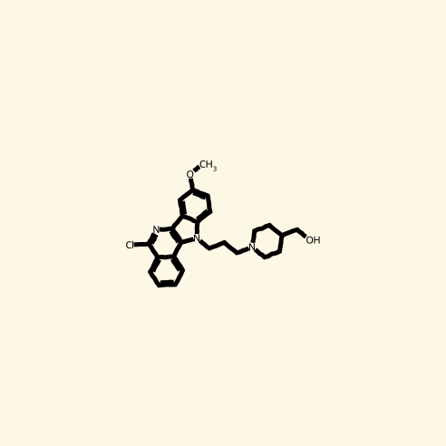 COc1ccc2c(c1)c1nc(Cl)c3ccccc3c1n2CCCN1CCC(CO)CC1